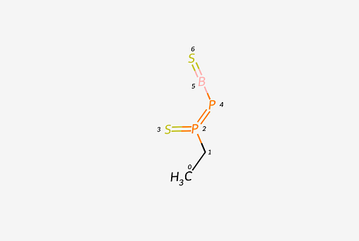 CCP(=S)=PB=S